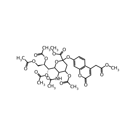 COC(=O)Cc1cc(=O)oc2cc(OC3(C(=O)OC)CC(OC(C)=O)C(NC(C)=O)C([C@H](OC(C)=O)[C@@H](COC(C)=O)OC(C)=O)O3)ccc12